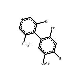 COc1cc(-c2c(Br)cncc2C(=O)O)c(Br)cc1Br